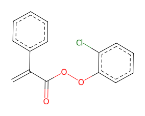 C=C(C(=O)OOc1ccccc1Cl)c1ccccc1